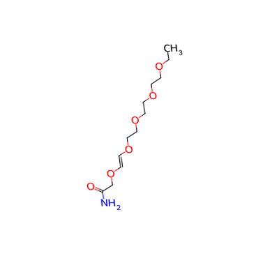 CCOCCOCCOCCOC=COCC(N)=O